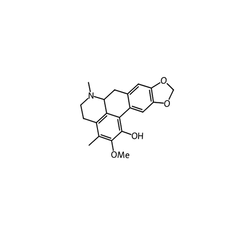 COc1c(C)c2c3c(c1O)-c1cc4c(cc1CC3N(C)CC2)OCO4